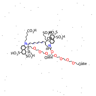 CCCC1C=C(/C=C/C=C/C=C/C=C2/N(CCCCCC(=O)O)c3ccc4c(S(=O)(=O)O)cc(S(=O)(=O)O)cc4c3C2(C)CCOCCOCCOCCOC)C(C)(CCCS(=O)(=O)O)c2c(ccc3c(S(=O)(=O)O)cc(S(=O)(=O)O)cc23)N1CCOCCOCCOCCOCCOCCOC